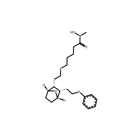 CN(O)C(=O)CCCCSCC[C@@H]1[C@H](CCSc2ccccc2)[C@@H]2CC[C@H]1O2